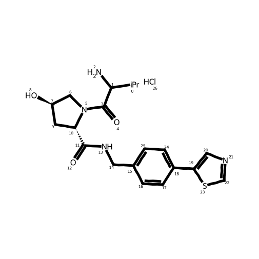 CC(C)C(N)C(=O)N1C[C@H](O)C[C@H]1C(=O)NCc1ccc(-c2cncs2)cc1.Cl